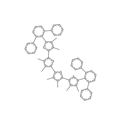 Cc1c(-c2sc(-c3sc(-c4c(-c5ccccc5)cccc4-c4ccccc4)c(C)c3C)c(C)c2C)sc(-c2sc(-c3c(-c4ccccc4)cccc3-c3ccccc3)c(C)c2C)c1C